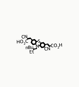 [C-]#[N+]/C(=C\c1ccc2c(c1)Sc1cc(/C=C(/[N+]#[C-])C(=O)O)ccc1N2CC(CC)CCCC)C(=O)O